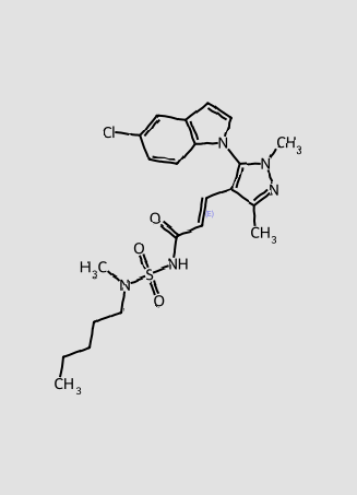 CCCCCN(C)S(=O)(=O)NC(=O)/C=C/c1c(C)nn(C)c1-n1ccc2cc(Cl)ccc21